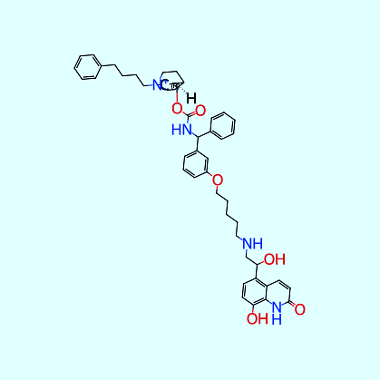 O=C(NC(c1ccccc1)c1cccc(OCCCCCNCC(O)c2ccc(O)c3[nH]c(=O)ccc23)c1)O[C@H]1C[N+]2(CCCCc3ccccc3)CCC1CC2